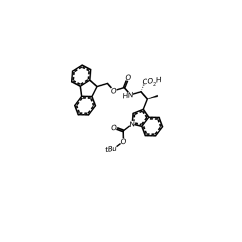 C[C@@H](c1cn(C(=O)OC(C)(C)C)c2ccccc12)[C@H](NC(=O)OCC1c2ccccc2-c2ccccc21)C(=O)O